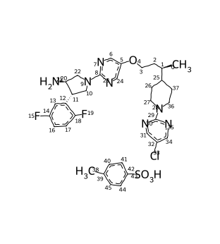 C[C@H](CCOc1cnc(N2C[C@H](c3cc(F)ccc3F)[C@@H](N)C2)nc1)C1CCN(c2ncc(Cl)cn2)CC1.Cc1ccc(S(=O)(=O)O)cc1